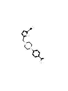 N#Cc1ccc(CN2CCN(c3ccc(C(N)=O)cc3)CC2)[nH]1